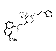 COc1ccc2nccc([C@H](F)CC[C@@H]3CCN(CCCc4ccoc4)C[C@@H]3CC(=O)O)c2c1